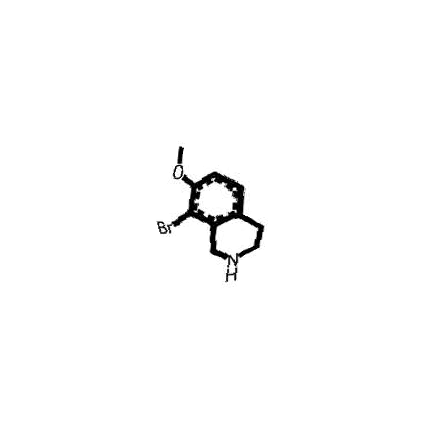 COc1ccc2c(c1Br)CNCC2